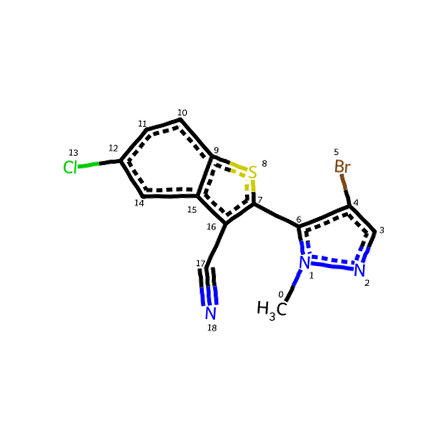 Cn1ncc(Br)c1-c1sc2ccc(Cl)cc2c1C#N